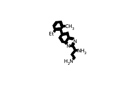 CCc1cccc(C)c1-c1ccc2nc(C(N)CCN)ncc2c1